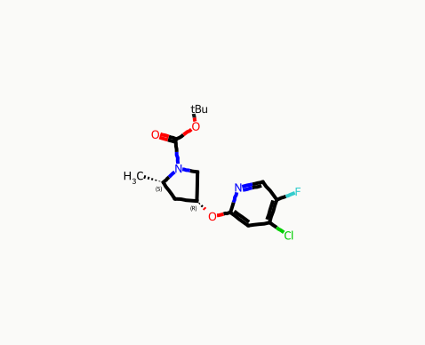 C[C@H]1C[C@@H](Oc2cc(Cl)c(F)cn2)CN1C(=O)OC(C)(C)C